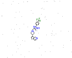 Cc1[nH]c(-c2ccc(C(F)(F)F)cc2)nc1CN1CCC(C2=CCc3ccncc32)CC1